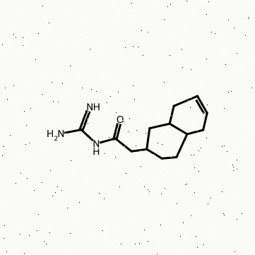 N=C(N)NC(=O)CC1CCC2CC=CCC2C1